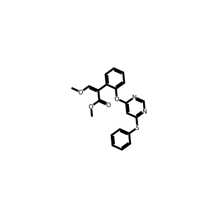 COC=C(C(=O)OC)c1ccccc1Oc1cc(Sc2ccccc2)ncn1